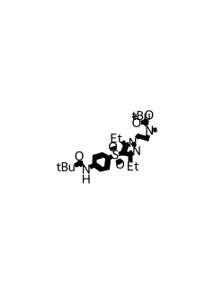 CCc1nn(CCN(C)C(=O)OC(C)(C)C)c(CC)c1S(=O)(=O)c1ccc(NC(=O)C(C)(C)C)cc1